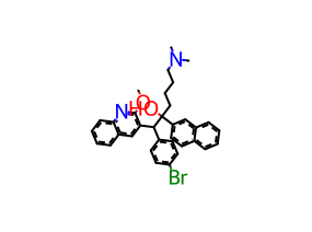 COc1nc2ccccc2cc1C(c1ccc(Br)cc1)C(O)(CCCCN(C)C)c1ccc2ccccc2c1